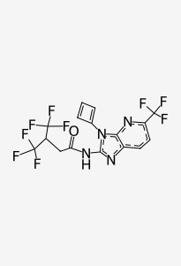 O=C(CC(C(F)(F)F)C(F)(F)F)Nc1nc2ccc(C(F)(F)F)nc2n1C1=CC=C1